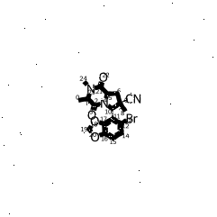 CC1C(=O)N2C(C[C@](C)(C#N)[C@@H]2c2c(Br)ccc3c2OCO3)C(=O)N1C